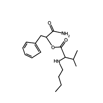 CCCCNC(C(=O)OC(Cc1ccccc1)C(N)=O)C(C)C